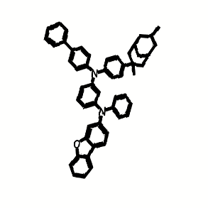 CC1CC2CC(C1)CC(C)(c1ccc(N(c3ccc(-c4ccccc4)cc3)c3cccc(N(c4ccccc4)c4ccc5c(c4)oc4ccccc45)c3)cc1)C2